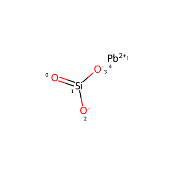 O=[Si]([O-])[O-].[Pb+2]